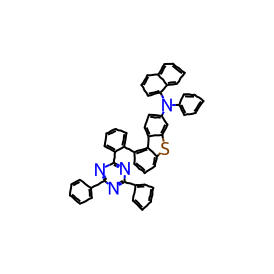 c1ccc(-c2nc(-c3ccccc3)nc(-c3ccccc3-c3cccc4sc5cc(N(c6ccccc6)c6cccc7ccccc67)ccc5c34)n2)cc1